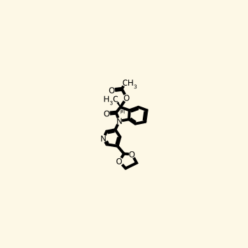 CC(=O)O[C@@]1(C)C(=O)N(c2cncc(C3OCCO3)c2)c2ccccc21